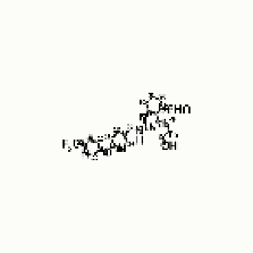 CC(CO)N(C)c1nc(NCc2ccc(Oc3ccc(C(F)(F)F)nc3)nc2)nc2c1N(C=O)CCC2